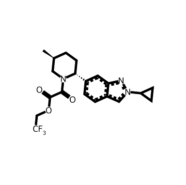 C[C@H]1CC[C@H](c2ccc3cn(C4CC4)nc3c2)N(C(=O)C(=O)OCC(F)(F)F)C1